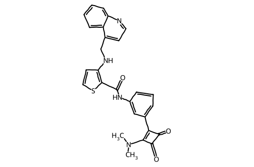 CN(C)c1c(-c2cccc(NC(=O)c3sccc3NCc3ccnc4ccccc34)c2)c(=O)c1=O